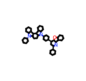 c1ccc(-c2cc(-c3ccc(-n4c5ccccc5c5c6c7ccccc7n(-c7ccccc7)c6ccc54)cc3)c3oc4ccccc4c3n2)cc1